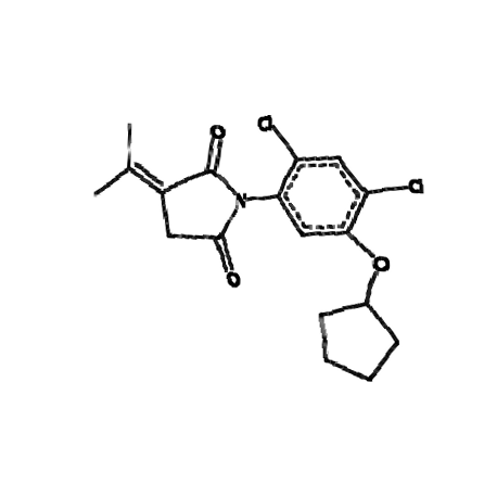 CC(C)=C1CC(=O)N(c2cc(OC3CCCC3)c(Cl)cc2Cl)C1=O